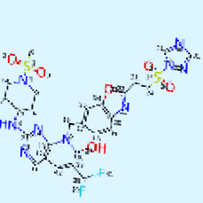 CS(=O)(=O)N1CCC(Nc2ncc3c(n2)N(Cc2ccc4nc(CCS(=O)(=O)n5cncn5)oc4c2)C(O)C(C(F)F)=C3)CC1